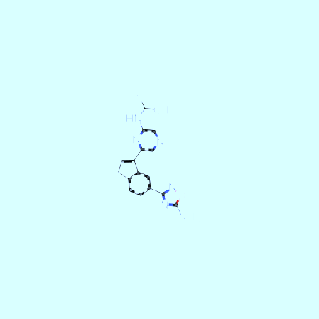 CC(C)Nc1cncc(C2=CCc3ccc(-c4noc(N)n4)cc32)n1